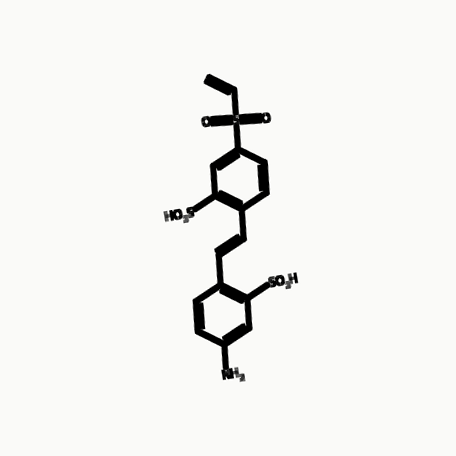 C=CS(=O)(=O)c1ccc(C=Cc2ccc(N)cc2S(=O)(=O)O)c(S(=O)(=O)O)c1